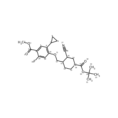 COC(=O)c1cc(C2CC2)c(OCC2CCN(C(=O)OC(C)(C)C)CC2C#N)cc1F